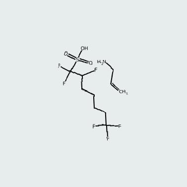 C=CCN.O=S(=O)(O)C(F)(F)C(F)CCCCC(F)(F)F